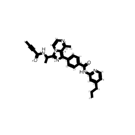 CC#CC(=O)NC(C)c1nc(-c2ccc(C(=O)Nc3cc(CCC)ccn3)cc2)c2c(C)nccn12